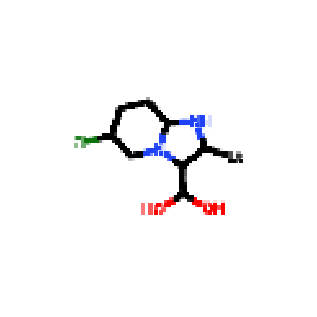 CCC1NC2CCC(Cl)CN2C1C(O)O